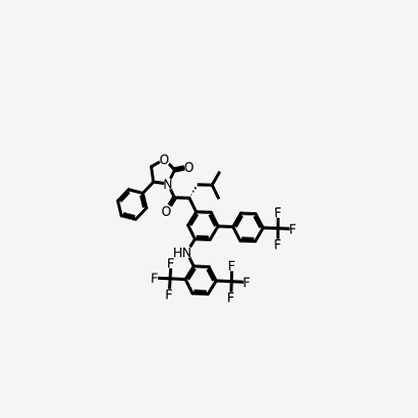 CC(C)C[C@@H](C(=O)N1C(=O)OCC1c1ccccc1)c1cc(Nc2cc(C(F)(F)F)ccc2C(F)(F)F)cc(-c2ccc(C(F)(F)F)cc2)c1